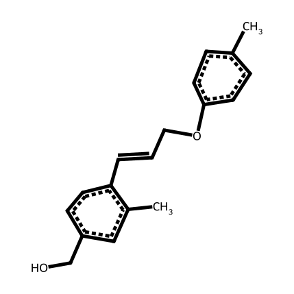 Cc1ccc(OCC=Cc2ccc(CO)cc2C)cc1